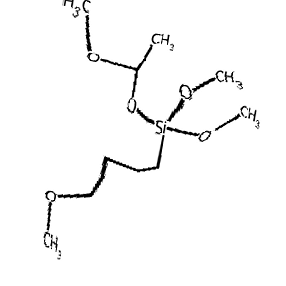 COCCC[Si](OC)(OC)OC(C)OC